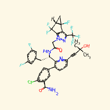 CC(C)(O)C#Cc1ccc(-c2ccc(Cl)c(C(N)=O)c2)c([C@H](Cc2cc(F)cc(F)c2)NC(=O)Cn2nc(C(F)(F)F)c3c2C(F)(F)[C@@H]2C[C@]32F)n1